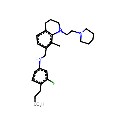 Cc1c(CNc2ccc(CCC(=O)O)c(F)c2)ccc2c1N(CCN1CCCCC1)CCC2